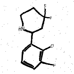 Fc1cccc(C2CC(F)(F)CCN2)c1Cl